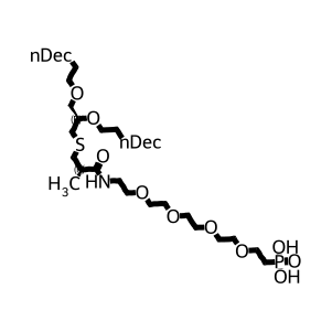 CCCCCCCCCCCCOC[C@H](CSC[C@H](C)C(=O)NCCOCCOCCOCCOCCP(=O)(O)O)OCCCCCCCCCCCC